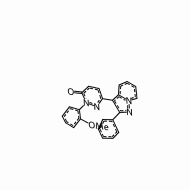 COc1ccccc1-n1nc(-c2c(-c3ccccc3)nn3ccccc23)ccc1=O